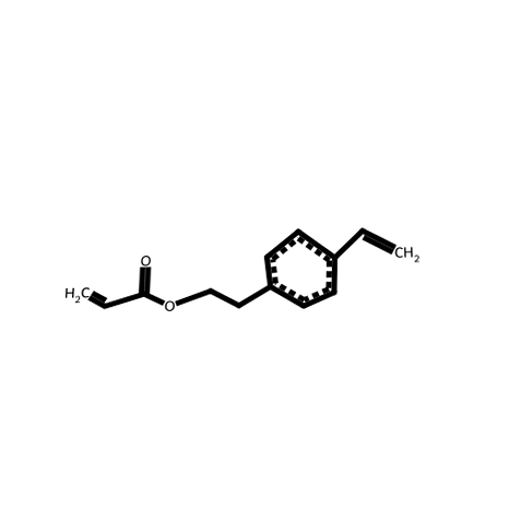 C=CC(=O)OCCc1ccc(C=C)cc1